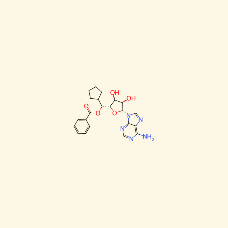 Nc1ncnc2c1ncn2[C@@H]1O[C@H](C(OC(=O)c2ccccc2)C2CCCC2)[C@@H](O)[C@H]1O